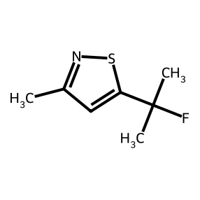 Cc1cc(C(C)(C)F)sn1